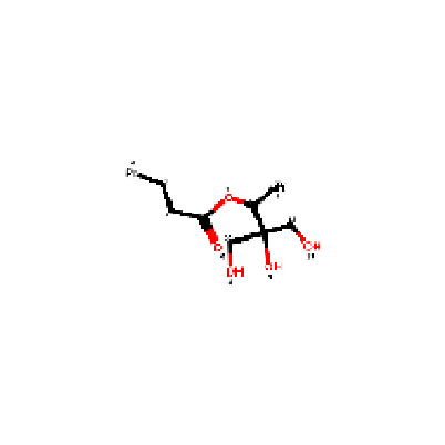 CC(C)CCC(=O)OC(C(C)C)C(O)(CO)CO